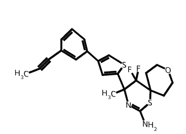 CC#Cc1cccc(-c2csc(C3(C)N=C(N)SC4(CCOCC4)C3(F)F)c2)c1